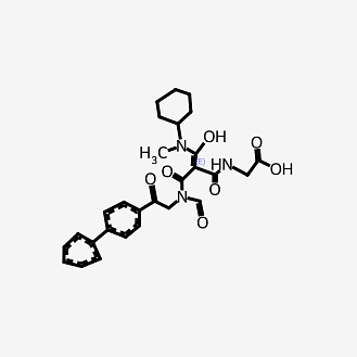 CN(/C(O)=C(/C(=O)NCC(=O)O)C(=O)N(C=O)CC(=O)c1ccc(-c2ccccc2)cc1)C1CCCCC1